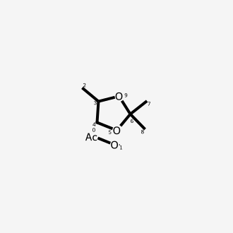 CC([O])=O.CC1COC(C)(C)O1